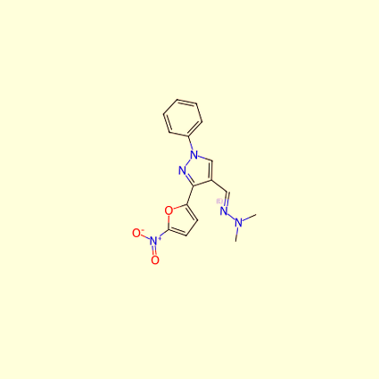 CN(C)/N=C/c1cn(-c2ccccc2)nc1-c1ccc([N+](=O)[O-])o1